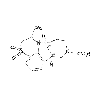 CC(C)(C)C1CS(=O)(=O)c2cccc3c2N1[C@H]1CCN(C(=O)O)C[C@@H]31